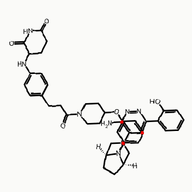 Nc1nnc(-c2ccccc2O)cc1N1C[C@H]2CC[C@@H](C1)N2c1cccc(OC2CCN(C(=O)CCc3ccc(NC4CCC(=O)NC4=O)cc3)CC2)c1